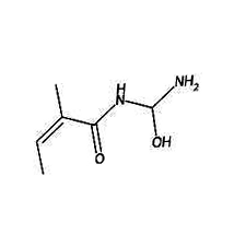 C/C=C(/C)C(=O)NC(N)O